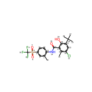 Cc1cc(S(=O)(=O)C(F)(F)F)ccc1NC(=O)c1c(C)c(Cl)cc(C(C)(C)C)c1O